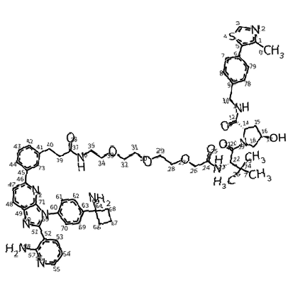 Cc1ncsc1-c1ccc(CNC(=O)[C@@H]2C[C@@H](O)CN2C(=O)[C@@H](NC(=O)COCCOCCOCCNC(=O)CCc2cccc(-c3ccc4nc(-c5cccnc5N)n(-c5ccc(C6(N)CCC6)cc5)c4n3)c2)C(C)(C)C)cc1